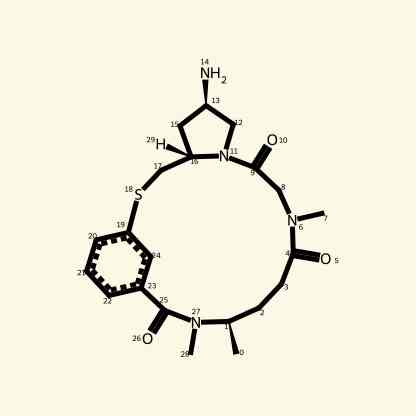 C[C@@H]1CCC(=O)N(C)CC(=O)N2C[C@H](N)C[C@H]2CSc2cccc(c2)C(=O)N1C